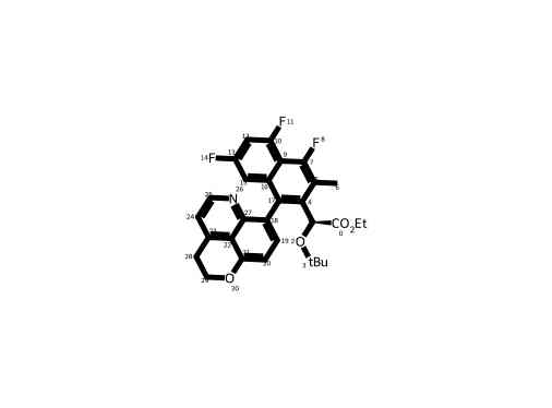 CCOC(=O)[C@@H](OC(C)(C)C)c1c(C)c(F)c2c(F)cc(F)cc2c1-c1ccc2c3c(ccnc13)CCO2